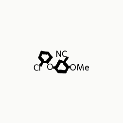 COc1ccc(Oc2ccccc2Cl)cc1CC#N